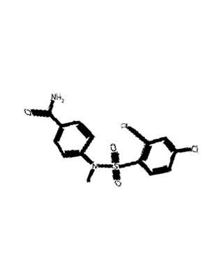 CN(c1ccc(C(N)=O)cc1)S(=O)(=O)c1ccc(Cl)cc1Cl